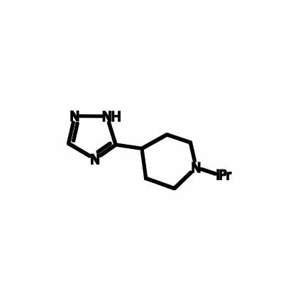 CC(C)N1CCC(c2ncn[nH]2)CC1